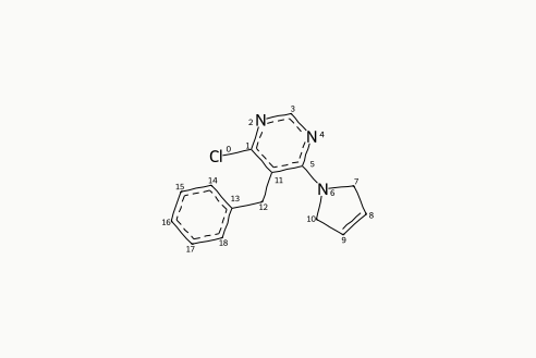 Clc1ncnc(N2CC=CC2)c1Cc1ccccc1